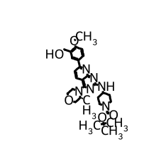 COc1ccc(-c2ccc3c(N4CCOC[C@@H]4C)nc(NC4CCN(C(=O)OC(C)(C)C)CC4)nc3n2)cc1CO